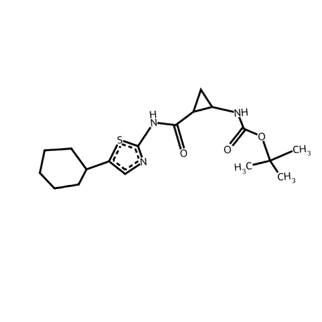 CC(C)(C)OC(=O)NC1CC1C(=O)Nc1ncc(C2CCCCC2)s1